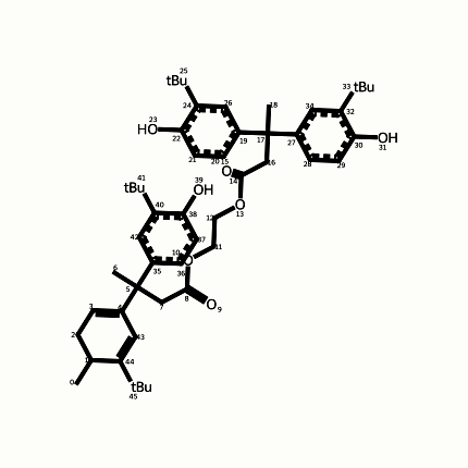 CC1CC=C(C(C)(CC(=O)OCCOC(=O)CC(C)(c2ccc(O)c(C(C)(C)C)c2)c2ccc(O)c(C(C)(C)C)c2)c2ccc(O)c(C(C)(C)C)c2)C=C1C(C)(C)C